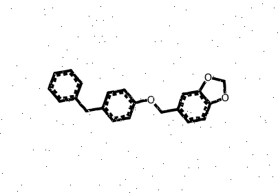 c1ccc(Cc2ccc(OCc3ccc4c(c3)OCO4)cc2)cc1